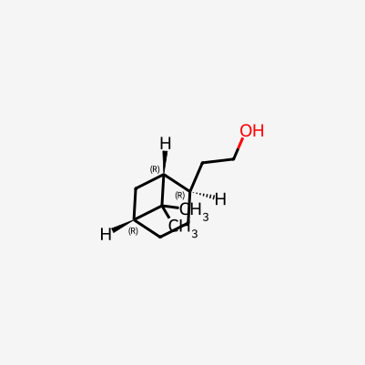 CC1(C)[C@@H]2CC[C@H](CCO)[C@H]1C2